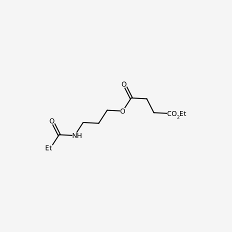 CCOC(=O)CCC(=O)OCCCNC(=O)CC